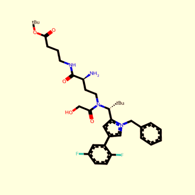 CC(C)(C)OC(=O)CCCNC(=O)[C@@H](N)CCN(C(=O)CO)[C@@H](c1cc(-c2cc(F)ccc2F)cn1Cc1ccccc1)C(C)(C)C